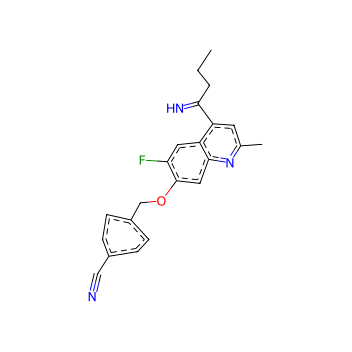 CCCC(=N)c1cc(C)nc2cc(OCc3ccc(C#N)cc3)c(F)cc12